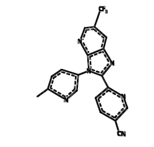 Cc1ccc(-n2c(-c3ccc(C#N)cn3)nc3cc(C(F)(F)F)cnc32)cn1